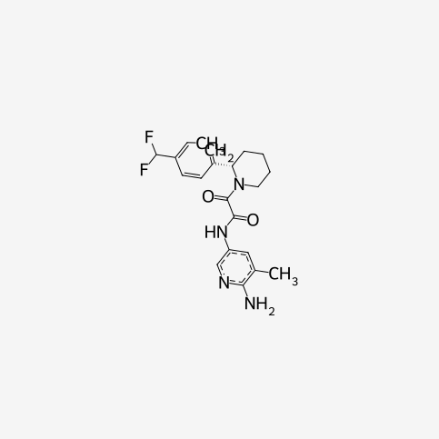 C=C(/C=C\C(=C/C)C(F)F)[C@@H]1CCCCN1C(=O)C(=O)Nc1cnc(N)c(C)c1